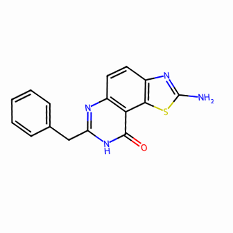 Nc1nc2ccc3nc(Cc4ccccc4)[nH]c(=O)c3c2s1